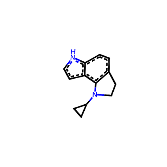 c1cc2c3c(ccc2[nH]1)CCN3C1CC1